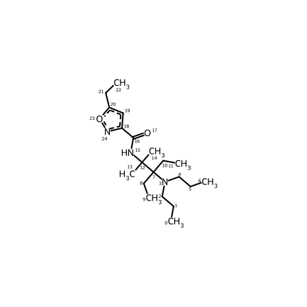 CCCN(CCC)C(CC)(CC)C(C)(C)NC(=O)c1cc(CC)on1